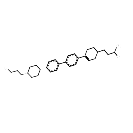 CCCC[C@H]1CC[C@H](c2ccc(-c3ccc(C4=CCC(CCC(C)C)CC4)cc3)cc2)CC1